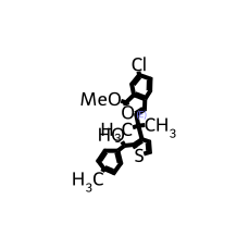 COC(=O)c1cc(Cl)ccc1/C=C/C(C)(C)c1ccsc1C(O)c1ccc(C)cc1